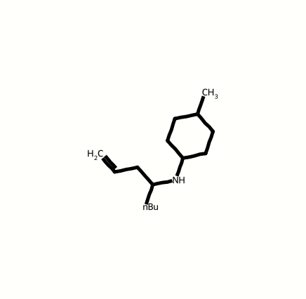 C=CCC(CCCC)N[C]1CCC(C)CC1